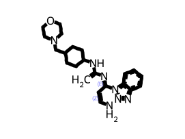 C=C(/N=C(\C=C/N)n1nnc2ccccc21)NC1CCC(CN2CCOCC2)CC1